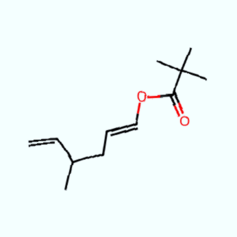 C=CC(C)C/C=C/OC(=O)C(C)(C)C